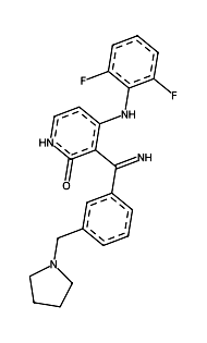 N=C(c1cccc(CN2CCCC2)c1)c1c(Nc2c(F)cccc2F)cc[nH]c1=O